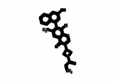 C=CC(=O)N1CC(n2cnc3c(Cl)c(-c4cc(O)cc5ccccc45)c(N)cc3c2=O)C1